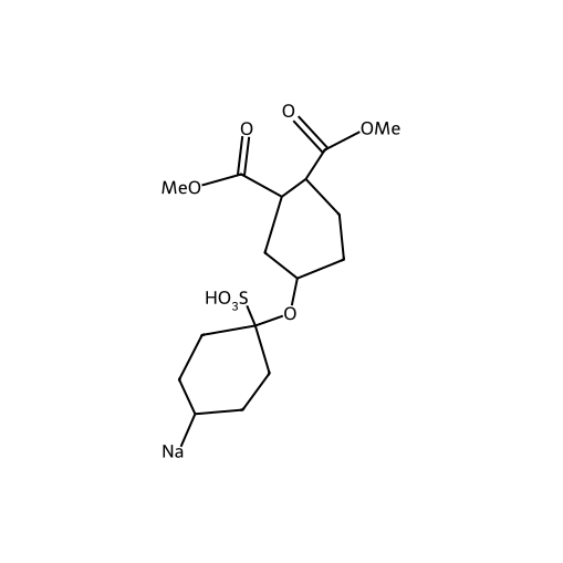 COC(=O)C1CCC(OC2(S(=O)(=O)O)CC[CH]([Na])CC2)CC1C(=O)OC